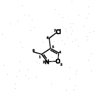 Cc1nocc1CCl